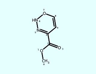 COC(=O)C1=NNOC=C1